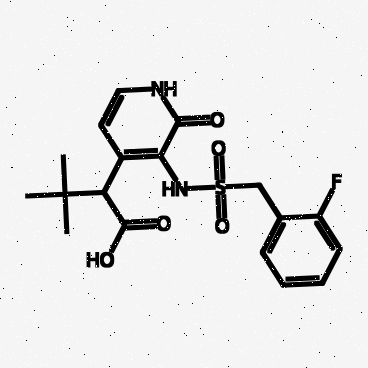 CC(C)(C)C(C(=O)O)c1cc[nH]c(=O)c1NS(=O)(=O)Cc1ccccc1F